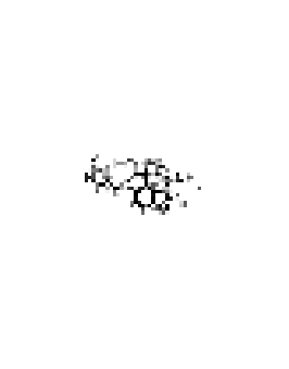 Cc1ncc(COc2ccc3oc(C)c(C(N)=O)c3c2C2(CO)CCC2)s1